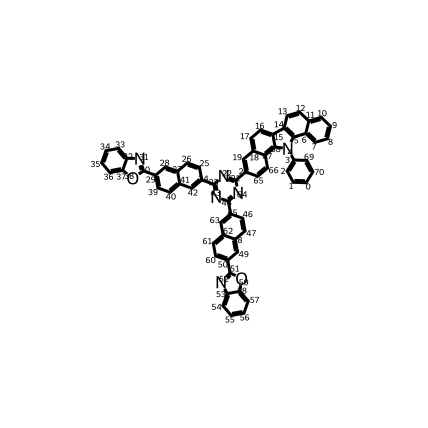 c1ccc(-n2c3c4ccccc4ccc3c3ccc4cc(-c5nc(-c6ccc7cc(-c8nc9ccccc9o8)ccc7c6)nc(-c6ccc7cc(-c8nc9ccccc9o8)ccc7c6)n5)ccc4c32)cc1